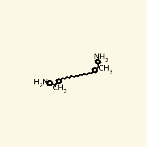 CC(c1ccc(N)cc1)c1ccc(CCCCCCCCCCCCCCc2ccc(C(C)c3ccc(N)cc3)cc2)cc1